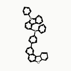 C1=CC2Oc3ccc4ccc(-c5ccc(N(c6ccccc6)c6cccc7c6c6ccccc6n7-c6ccccc6)cc5)cc4c3C2C=C1